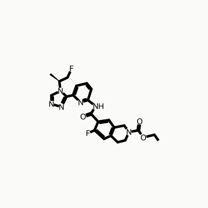 CCOC(=O)N1CCc2cc(F)c(C(=O)Nc3cccc(-c4nncn4[C@@H](C)CF)n3)cc2C1